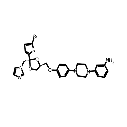 Nc1cccc(N2CCN(c3ccc(OC[C@H]4CO[C@@](Cn5ccnc5)(c5ccc(Br)s5)O4)cc3)CC2)c1